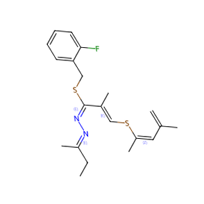 C=C(C)/C=C(/C)S/C=C(C)/C(=N\N=C(/C)CC)SCc1ccccc1F